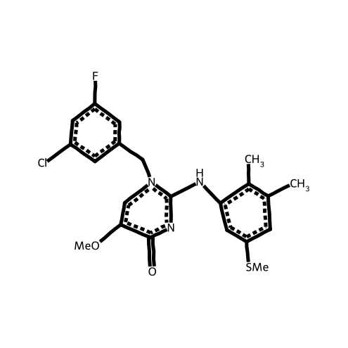 COc1cn(Cc2cc(F)cc(Cl)c2)c(Nc2cc(SC)cc(C)c2C)nc1=O